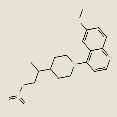 COc1ccc2nccc(N3CCC(C(C)CN[SH](=O)=O)CC3)c2c1